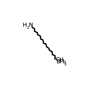 B.CCCCCCCCCCCCCCCCCCN